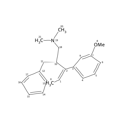 C/C=C(/c1cccc(OC)c1)[C@H](Cc1ccccc1)CN(C)C